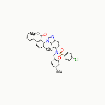 CCC(C)c1ccc(CN(c2ccc3ncn(-c4c(C(C)(C)C)ccc(-c5ccccc5)c4C(=O)OC)c3c2)S(=O)(=O)c2ccc(Cl)cc2)cc1